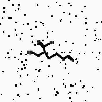 NCC(CCOC=O)C(=O)O